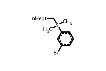 CCCCCCCC[Si](C)(C)c1cccc(Br)c1